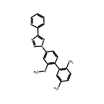 COc1cc(-n2nnc(-c3ccccn3)n2)ccc1-c1cc(C)ccc1C